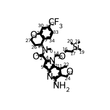 CN(C(=O)c1cc2nc(N)c3c(c2n1COCC[Si](C)(C)C)COC3)[C@@H]1CCOc2cc(C(F)(F)F)ccc21